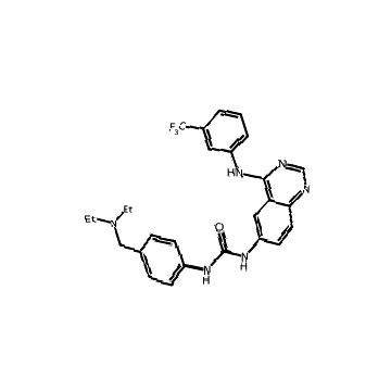 CCN(CC)Cc1ccc(NC(=O)Nc2ccc3ncnc(Nc4cccc(C(F)(F)F)c4)c3c2)cc1